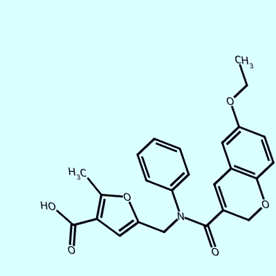 CCOc1ccc2c(c1)C=C(C(=O)N(Cc1cc(C(=O)O)c(C)o1)c1ccccc1)CO2